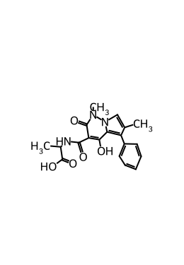 Cc1cn2c(c(O)c(C(=O)NC(C)C(=O)O)c(=O)n2C)c1-c1ccccc1